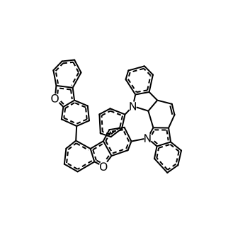 C1=CC2c3ccccc3N(c3ccccc3)C2c2c1c1ccccc1n2-c1ccc2c(c1)oc1cccc(-c3ccc4c(c3)oc3ccccc34)c12